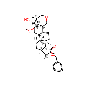 CO[C@@H]1C[C@@]23COC[C@](C)([C@@H]2CC[C@H]2C3=CC[C@@]3(C)[C@H](C(=O)OCc4ccccc4)[C@@](C)([C@H](C)C(C)C)CC[C@]23C)[C@H]1O